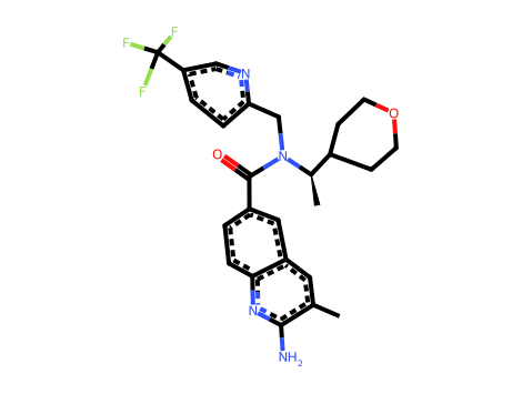 Cc1cc2cc(C(=O)N(Cc3ccc(C(F)(F)F)cn3)[C@H](C)C3CCOCC3)ccc2nc1N